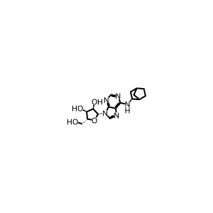 OC[C@H]1O[C@@H](n2cnc3c(N[C@H]4CC5CCC4C5)ncnc32)[C@H](O)[C@@H]1O